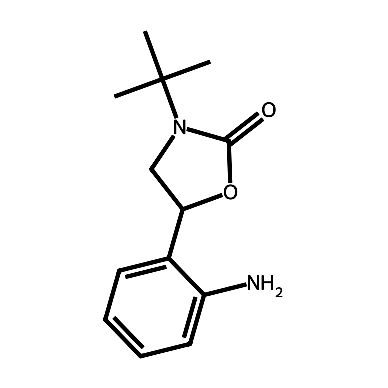 CC(C)(C)N1CC(c2ccccc2N)OC1=O